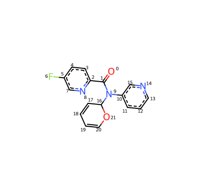 O=C(c1ccc(F)cn1)N(c1cccnc1)C1C=CC=CO1